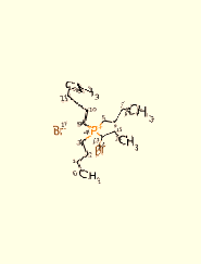 CCCC[P+](CCCC)(CCCC)C(Br)CC.[Br-]